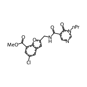 CCCn1cncc(C(=O)NCc2cc3cc(Cl)cc(C(=O)OC)c3o2)c1=O